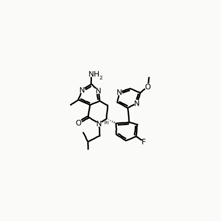 COc1cncc(-c2cc(F)ccc2[C@H]2Cc3nc(N)nc(C)c3C(=O)N2CC(C)C)n1